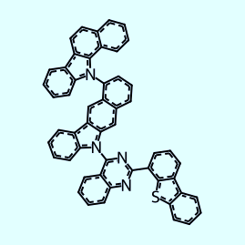 c1cc(-n2c3ccccc3c3ccc4ccccc4c32)c2cc3c4ccccc4n(-c4nc(-c5cccc6c5sc5ccccc56)nc5ccccc45)c3cc2c1